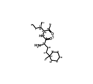 CC[C@@H](C)[C@H](NC(=O)C(N)CCC1(C)CCCCC1)C(C)=O